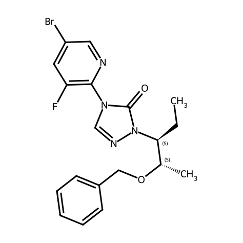 CC[C@@H]([C@H](C)OCc1ccccc1)n1ncn(-c2ncc(Br)cc2F)c1=O